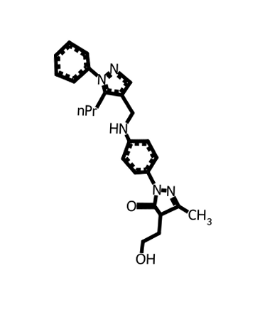 CCCc1c(CNc2ccc(N3N=C(C)C(CCO)C3=O)cc2)cnn1-c1ccccc1